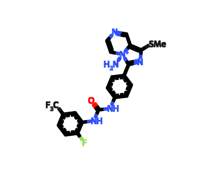 CSC1=C2C=NC=C[N+]2(N)C(c2ccc(NC(=O)Nc3cc(C(F)(F)F)ccc3F)cc2)=N1